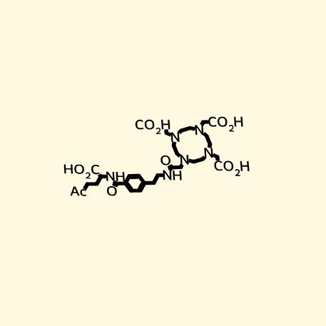 CC(=O)CCC(NC(=O)c1ccc(CCNC(=O)CN2CCN(CC(=O)O)CCN(CC(=O)O)CCN(CC(=O)O)CC2)cc1)C(=O)O